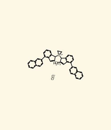 CC1=Cc2c(-c3ccc4ccccc4c3)cccc2[CH]1[Zr+2]1([CH]2C(C)=Cc3c(-c4ccc5ccccc5c4)cccc32)[CH2][CH2]1.[Cl-].[Cl-]